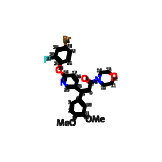 COc1ccc(C(=CC(=O)N2CCOCC2)c2ccc(Oc3ccc(Br)cc3F)nc2)cc1OC